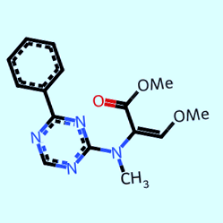 COC=C(C(=O)OC)N(C)c1ncnc(-c2ccccc2)n1